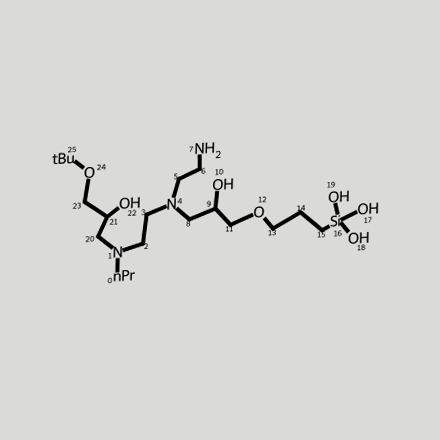 CCCN(CCN(CCN)CC(O)COCCC[Si](O)(O)O)CC(O)COC(C)(C)C